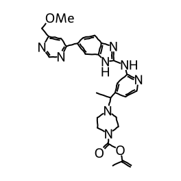 C=C(C)OC(=O)N1CCN(C(C)c2ccnc(Nc3nc4ccc(-c5cc(COC)ncn5)cc4[nH]3)c2)CC1